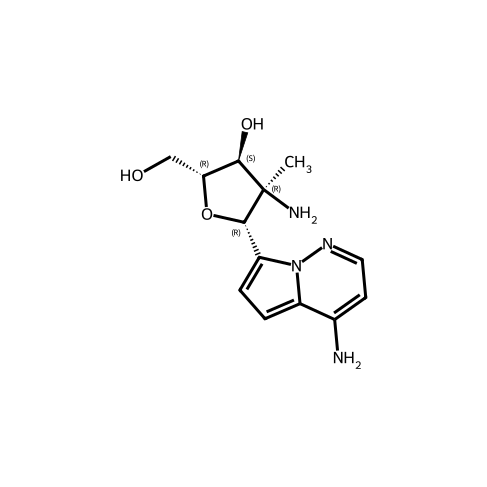 C[C@@]1(N)[C@H](O)[C@@H](CO)O[C@H]1c1ccc2c(N)ccnn12